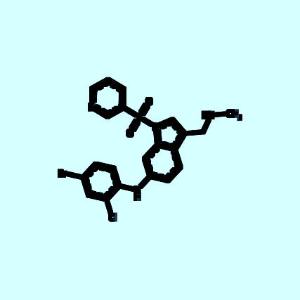 CNCc1cn(S(=O)(=O)c2cccnc2)c2cc(Nc3ccc(Br)cc3Cl)ccc12